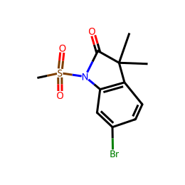 CC1(C)C(=O)N(S(C)(=O)=O)c2cc(Br)ccc21